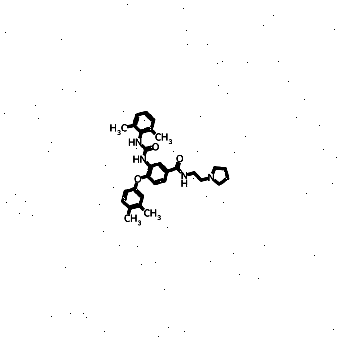 Cc1ccc(Oc2ccc(C(=O)NCCN3CCCC3)cc2NC(=O)Nc2c(C)cccc2C)cc1C